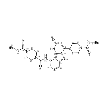 CC(C)(C)OC(=O)N1CCC(c2cc(=O)[nH]c3c4c(NC(=O)N5CCN(C(=O)OC(C)(C)C)CC5)cccc4nn23)CC1